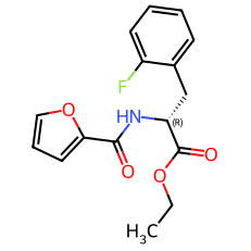 CCOC(=O)[C@@H](Cc1ccccc1F)NC(=O)c1ccco1